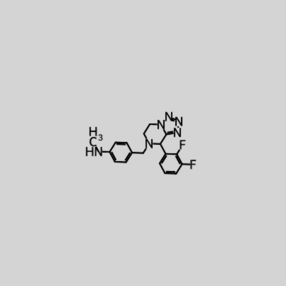 CNc1ccc(CN2CCn3nnnc3C2c2cccc(F)c2F)cc1